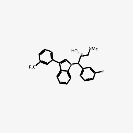 CNC[C@@H](O)C(c1cccc(F)c1)n1cc(-c2cccc(C(F)(F)F)c2)c2ccccc21